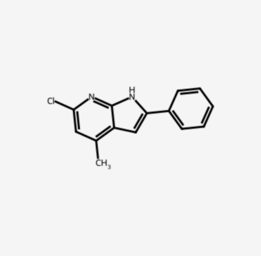 Cc1cc(Cl)nc2[nH]c(-c3ccccc3)cc12